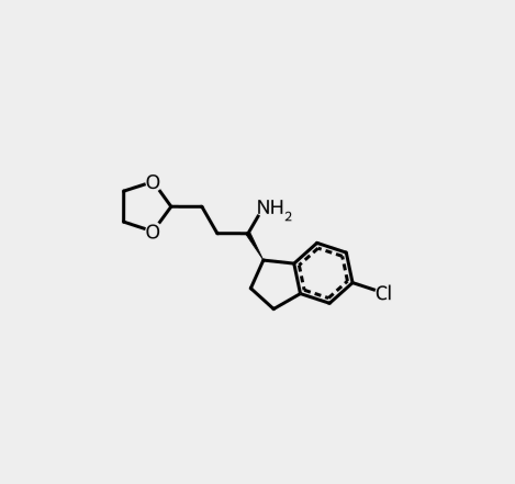 NC(CCC1OCCO1)[C@@H]1CCc2cc(Cl)ccc21